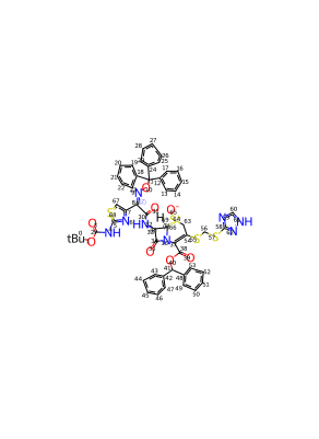 CC(C)(C)OC(=O)Nc1nc(/C(=N/OC(c2ccccc2)(c2ccccc2)c2ccccc2)C(=O)N[C@@H]2C(=O)N3C(C(=O)OC(c4ccccc4)c4ccccc4)=C(SCSc4nc[nH]n4)C[S+]([O-])[C@H]23)cs1